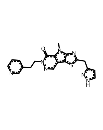 Cn1c2nc(Cc3cc[nH]n3)sc2c2cnn(CCc3cccnc3)c(=O)c21